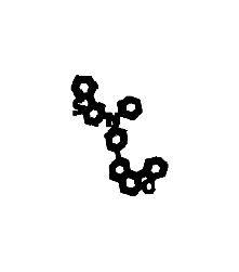 c1ccc(N(c2ccc(-c3ccc4ccc5oc6ccccc6c5c4c3)cc2)c2ccc3sc4ccccc4c3c2)cc1